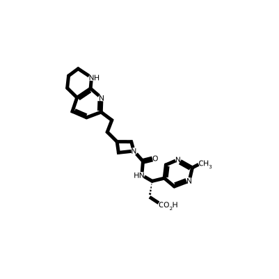 Cc1ncc([C@H](CC(=O)O)NC(=O)N2CC(CCc3ccc4c(n3)NCCC4)C2)cn1